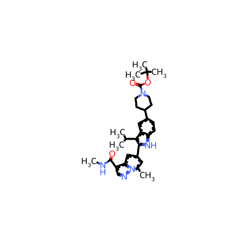 CNC(=O)c1cnn2c(C)cc(-c3[nH]c4ccc(C5CCN(C(=O)OC(C)(C)C)CC5)cc4c3C(C)C)cc12